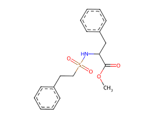 COC(=O)C(Cc1ccccc1)NS(=O)(=O)CCc1ccccc1